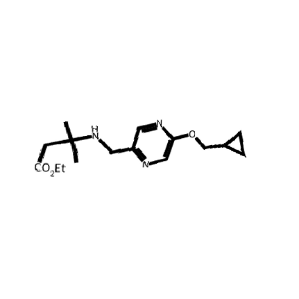 CCOC(=O)CC(C)(C)NCc1cnc(OCC2CC2)cn1